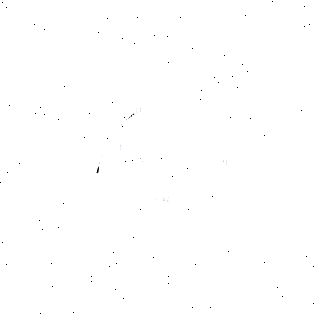 CC(C)(C)OC(=O)N1[C@@H]2CC[C@H]1C[C@@H](c1cccc(C#N)c1)C2